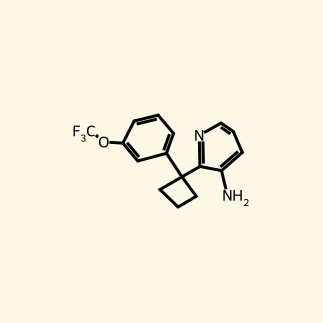 Nc1cccnc1C1(c2cccc(OC(F)(F)F)c2)CCC1